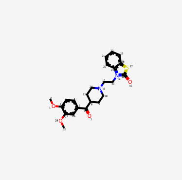 COc1ccc(C(=O)C2CCN(CCn3c(=O)sc4ccccc43)CC2)cc1OC